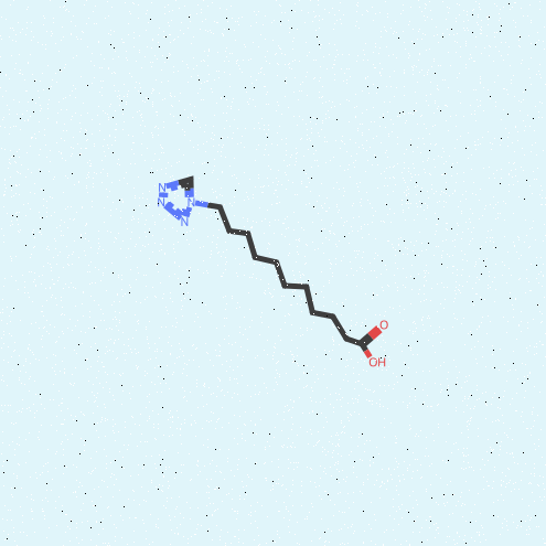 O=C(O)CCCCCCCCCCn1cnnn1